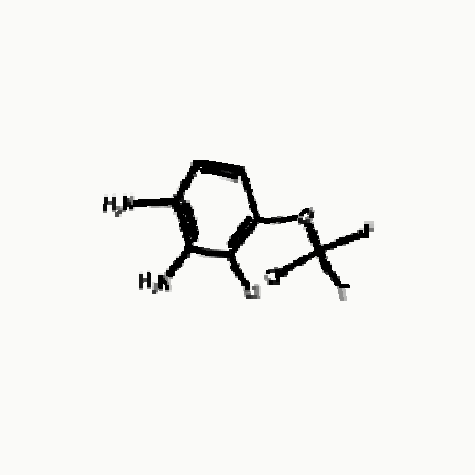 Nc1ccc(OC(F)(F)Cl)c(Cl)c1N